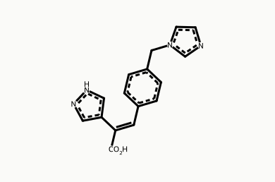 O=C(O)/C(=C/c1ccc(Cn2ccnc2)cc1)c1cn[nH]c1